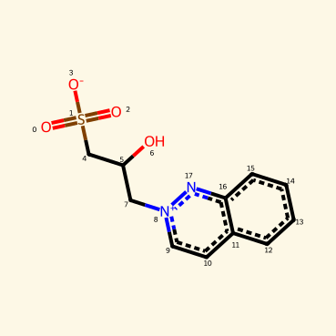 O=S(=O)([O-])CC(O)C[n+]1ccc2ccccc2n1